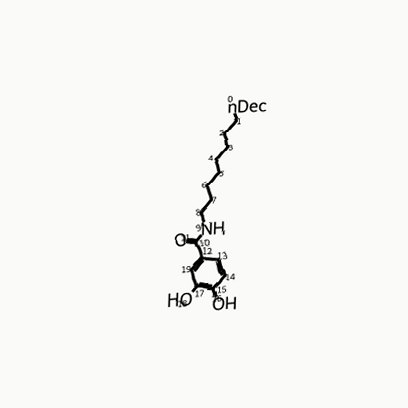 CCCCCCCCCCCCCCCCCCNC(=O)c1ccc(O)c(O)c1